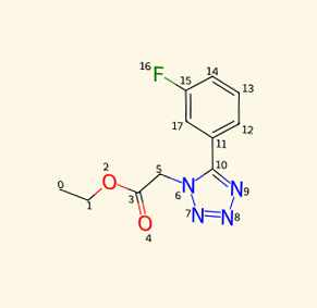 CCOC(=O)Cn1nnnc1-c1cccc(F)c1